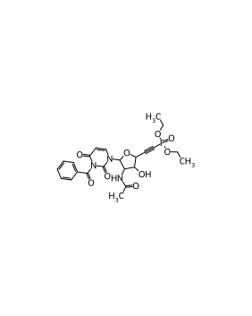 CCOP(=O)(C#CC1OC(n2ccc(=O)n(C(=O)c3ccccc3)c2=O)C(NC(C)=O)C1O)OCC